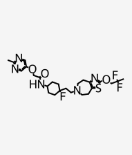 Cc1ncc(OCC(=O)NC2CCC(F)(CCN3CCc4nc(OCC(C)(F)F)sc4CC3)CC2)cn1